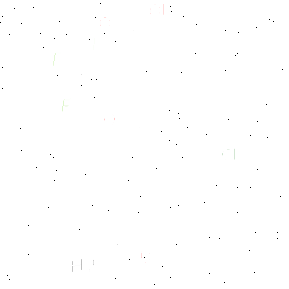 CC(=O)c1cccc(-c2cc(Cl)cc3c2OC(C(F)(F)F)C(C(=O)O)=C3)c1